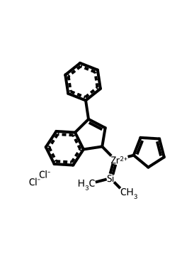 C[Si](C)=[Zr+2]([C]1=CC=CC1)[CH]1C=C(c2ccccc2)c2ccccc21.[Cl-].[Cl-]